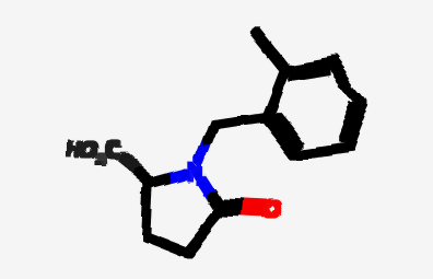 Cc1ccccc1CN1C(=O)CCC1C(=O)O